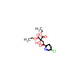 CCOC(=O)C(O)(CC(=O)c1ccc(Cl)cn1)C(=O)OCC